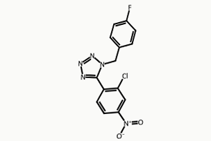 O=[N+]([O-])c1ccc(-c2nnnn2Cc2ccc(F)cc2)c(Cl)c1